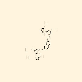 Cc1cc(CCc2ccc3ccc(CCc4cc(C)cc(-n5c(C)ccc5C)n4)cc3c2)nc(-n2c(C)ccc2C)c1